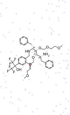 COCCOCO[C@H]([C@@H](OCOCCOC)[C@@H](Cc1ccccc1)NCc1ccc(C(O)(C(F)(F)F)C(F)(F)F)cc1OC)[C@H](N)Cc1ccccc1